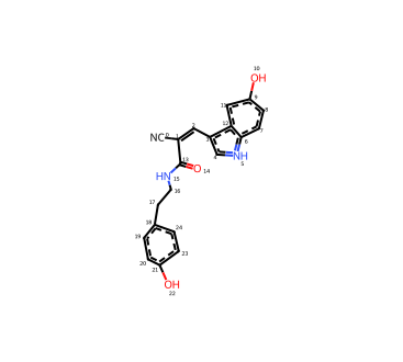 N#CC(=Cc1c[nH]c2ccc(O)cc12)C(=O)NCCc1ccc(O)cc1